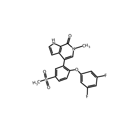 Cn1cc(-c2cc(S(C)(=O)=O)ccc2Oc2cc(F)cc(F)c2)c2cc[nH]c2c1=O